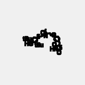 Cc1oc(CSc2cc(C(C)(C)C)c(O)c(C(C)(C)C)c2)nc1CCOc1ccc(CC2SC(=O)NC2=O)cc1